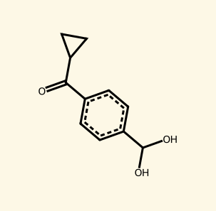 O=C(c1ccc(C(O)O)cc1)C1CC1